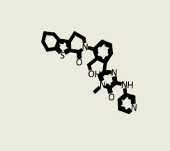 Cn1cc(-c2cccc(N3CCc4c(sc5c4CCCC5)C3=O)c2CO)nc(Nc2cccnc2)c1=O